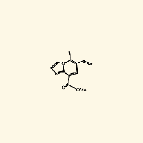 C=Cc1cc(C(=O)OC)c2nccn2c1C